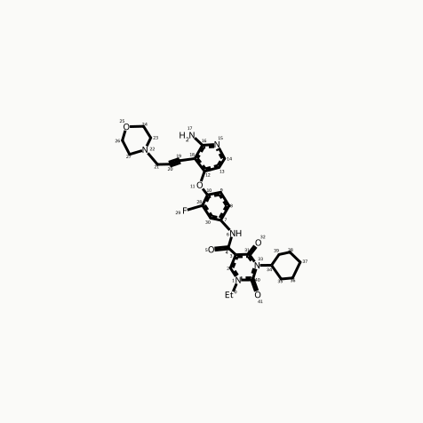 CCn1cc(C(=O)Nc2ccc(Oc3ccnc(N)c3C#CCN3CCOCC3)c(F)c2)c(=O)n(C2CCCCC2)c1=O